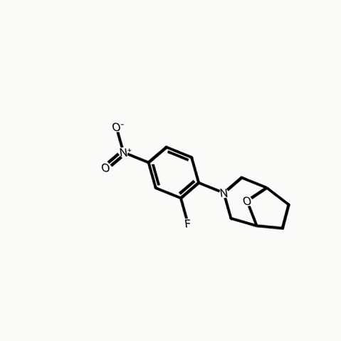 O=[N+]([O-])c1ccc(N2CC3CCC(C2)O3)c(F)c1